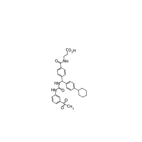 CS(=O)(=O)c1cccc(NC(=O)NC(c2ccc(C(=O)NCCC(=O)O)cc2)c2ccc(C3CCCCC3)cc2)c1